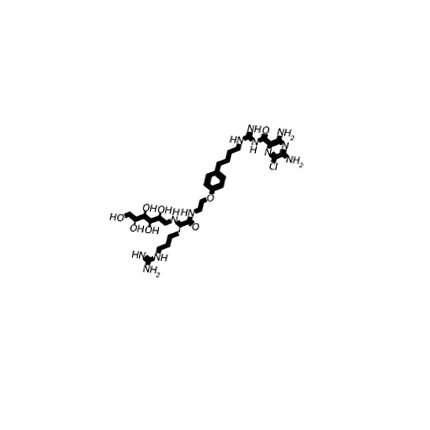 N=C(N)NCCCC[C@H](NC[C@H](O)[C@@H](O)[C@H](O)[C@H](O)CO)C(=O)NCCOc1ccc(CCCCNC(=N)NC(=O)c2nc(Cl)c(N)nc2N)cc1